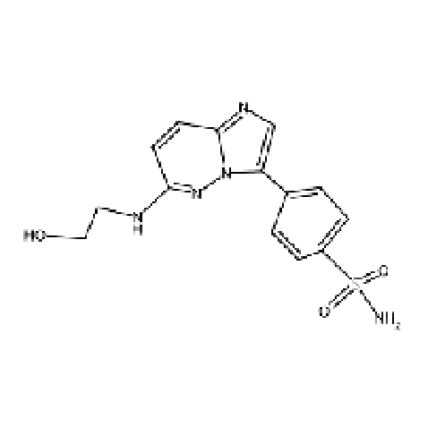 NS(=O)(=O)c1ccc(-c2cnc3ccc(NCCO)nn23)cc1